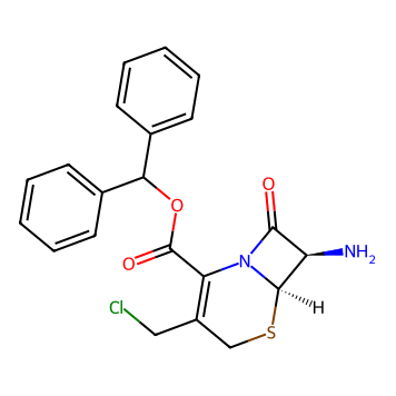 N[C@@H]1C(=O)N2C(C(=O)OC(c3ccccc3)c3ccccc3)=C(CCl)CS[C@H]12